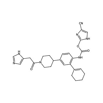 N#Cc1c[nH]c(OC(=O)Nc2ccc(C3CCN(C(=O)Cc4cnc[nH]4)CC3)cc2C2=CCCCC2)n1